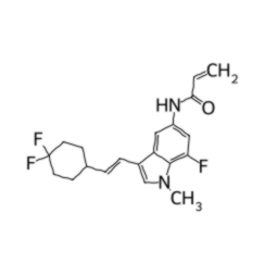 C=CC(=O)Nc1cc(F)c2c(c1)c(C=CC1CCC(F)(F)CC1)cn2C